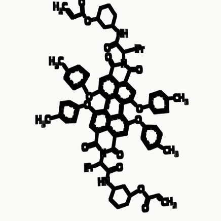 C=CC(=O)OC1CCCC(NC(=O)C(C(C)C)N2C(=O)c3cc(Oc4ccc(C)cc4)c4c5c(Oc6ccc(C)cc6)cc6c7c(cc(Oc8ccc(C)cc8)c(c8c(Oc9ccc(C)cc9)cc(c3c48)C2=O)c75)C(=O)N(C(C(=O)NC2CCCC(OC(=O)C=C)C2)C(C)C)C6=O)C1